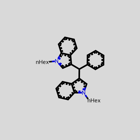 CCCCCCn1cc(C(c2ccccc2)c2cn(CCCCCC)c3ccccc23)c2ccccc21